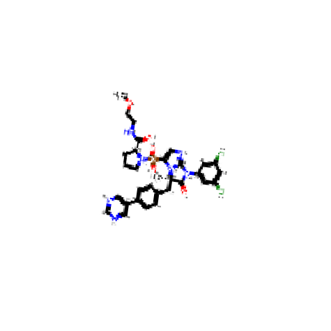 COCCNC(=O)[C@@H]1CCCN1S(=O)(=O)c1cnc2n1[C@](C)(Cc1ccc(-c3cncnc3)cc1)C(=O)N2c1cc(Cl)cc(Cl)c1